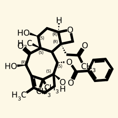 CC(=O)C[C@@]12CO[C@@H]1C[C@H](O)[C@@]1(C)C(=O)[C@H](O)C3=C(C)CC[C@@](O)([C@@H](OC(=O)c4ccccc4)C21)C3(C)C